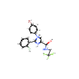 O=C(NCC(F)(F)F)c1cn(-c2ccc(Br)cc2)c(-c2ccccc2Cl)n1